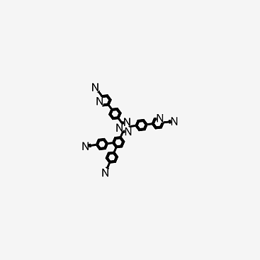 N#Cc1ccc(-c2ccc(-c3nc(-c4ccc(-c5ccc(C#N)nc5)cc4)nc(-c4ccc(-c5ccc(C#N)nc5)cc4)n3)cc2-c2ccc(C#N)cc2)cc1